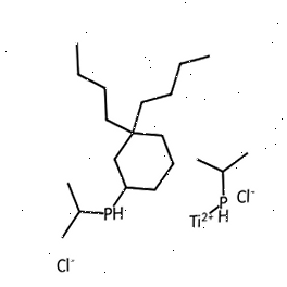 CC(C)[PH][Ti+2].CCCCC1(CCCC)CCCC(PC(C)C)C1.[Cl-].[Cl-]